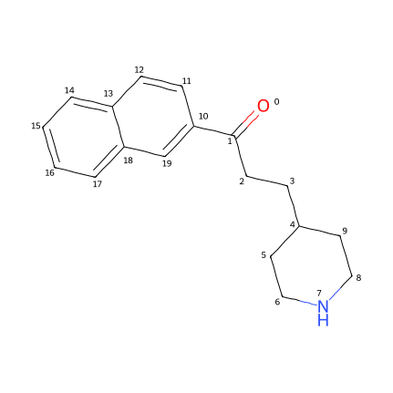 O=C(CCC1CCNCC1)c1ccc2ccccc2c1